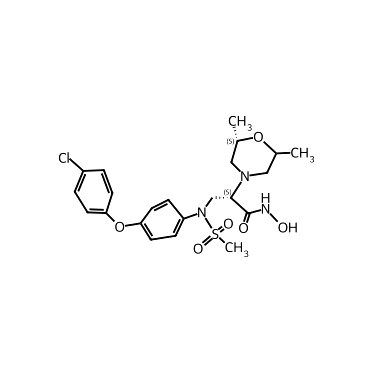 CC1CN([C@@H](CN(c2ccc(Oc3ccc(Cl)cc3)cc2)S(C)(=O)=O)C(=O)NO)C[C@H](C)O1